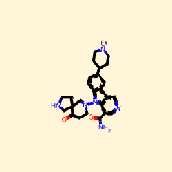 CCN1CCC(c2ccc3c(c2)c2cncc(C(N)=O)c2n3N2CCC(=O)C3(CCNC3)C2)CC1